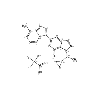 Cc1cc(-c2cnc3c(N)ncnn23)cc2cnn(C(C)C3CC3)c12.O=C(O)C(F)(F)F